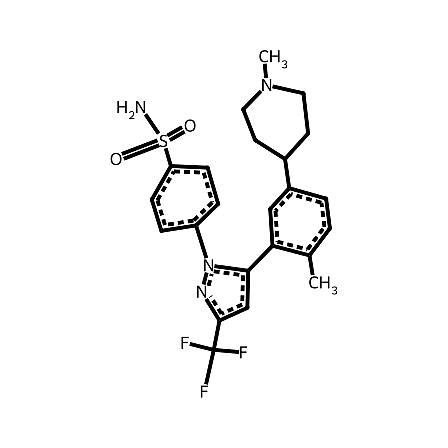 Cc1ccc(C2CCN(C)CC2)cc1-c1cc(C(F)(F)F)nn1-c1ccc(S(N)(=O)=O)cc1